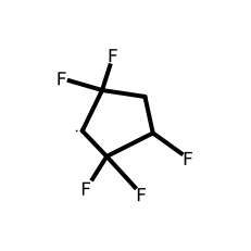 FC1CC(F)(F)[CH]C1(F)F